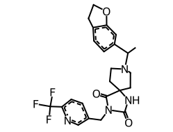 CC(c1ccc2c(c1)OCC2)N1CCC2(CC1)NC(=O)N(Cc1ccc(C(F)(F)F)nc1)C2=O